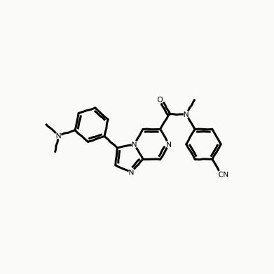 CN(C)c1cccc(-c2cnc3cnc(C(=O)N(C)c4ccc(C#N)cc4)cn23)c1